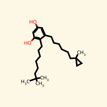 CC(C)(C)CCCCCCc1c(O)cc(O)cc1CCCCCCC1(C)CC1